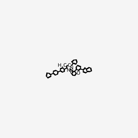 CC1=C(c2ccc(-c3ccc(-c4ccccc4)cc3)cc2)N=C(c2cccc3oc4c(-c5ccc6ccccc6c5)cccc4c23)NC(c2ccccc2)C1